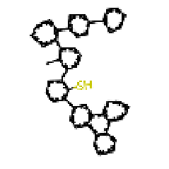 Cc1c(-c2ccccc2-c2ccc(-c3ccccc3)cc2)cccc1-c1cccc(-c2ccc3c4ccccc4c4ccccc4c3c2)c1S